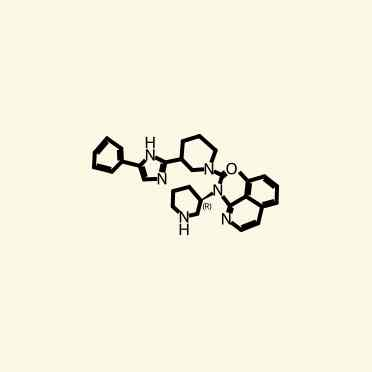 Cc1cccc2ccnc(N(C(=O)N3CCCC(c4ncc(-c5ccccc5)[nH]4)C3)[C@@H]3CCCNC3)c12